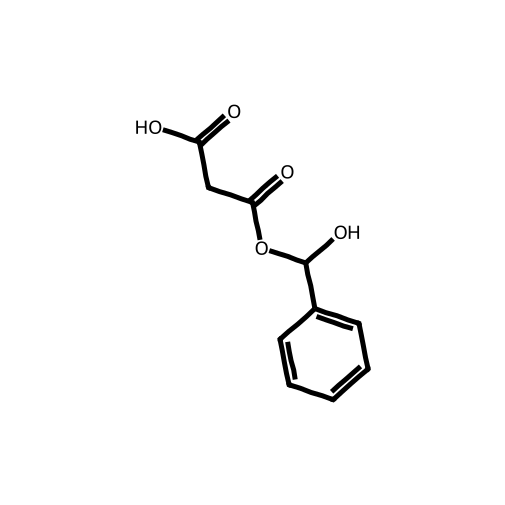 O=C(O)CC(=O)OC(O)c1ccccc1